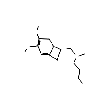 COC1=C(OC)CC2C(=C1)C[C@@H]2CN(C)CCCCl